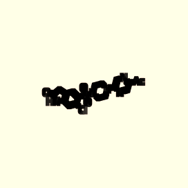 CC(=O)c1cnc(N2CCN(S(=O)(=O)c3cc4c(cc3Cl)NC(=O)C4)CC2)cn1